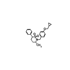 C[C@H]1CCC(c2ccccc2)S(=O)(=O)N1Cc1ccc(OCC2CC2)cc1